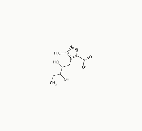 CCC(O)C(O)Cn1c([N+](=O)[O-])cnc1C